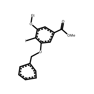 CCOc1cc(C(=O)OC)cc(OCc2ccccc2)c1I